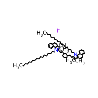 CCCCCCCCCCCCCCCCCCN1C(=CC=C2C=C(C=CC3=[N+](CCCCCCCCCCCCCCCCCC)c4c(ccc5ccccc45)C3(C)C)CCC2)C(C)(C)c2ccc3ccccc3c21.[I-]